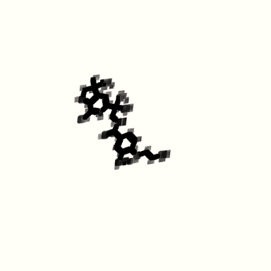 COc1cc(C(=O)NCC(O)(c2cc3c(c(Cl)n2)OCC3(C)N)C(F)(F)F)ccc1OCCO